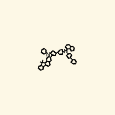 CC1(C)c2ccccc2-c2ccc3cc4c5cc(-c6ccc(N(c7ccc(-c8ccccc8)cc7)c7cccc8ccccc78)cc6)ccc5n(-c5ccccc5)c4cc3c21